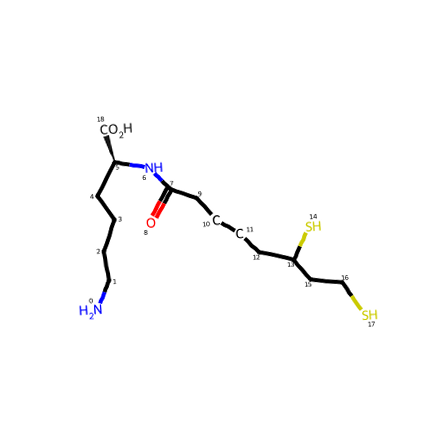 NCCCC[C@H](NC(=O)CCCCC(S)CCS)C(=O)O